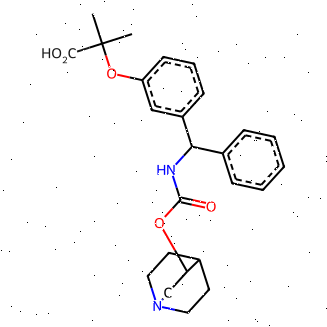 CC(C)(Oc1cccc(C(NC(=O)OC2CN3CCC2CC3)c2ccccc2)c1)C(=O)O